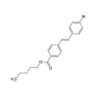 CCCCCOC(=O)c1ccc(C=Cc2ccc(Br)cc2)cc1